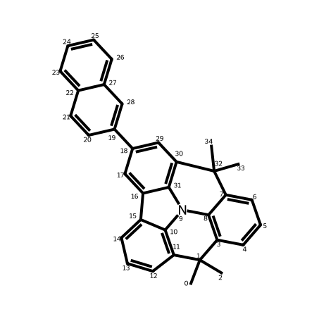 CC1(C)c2cccc3c2-n2c4c1cccc4c1cc(-c4ccc5ccccc5c4)cc(c12)C3(C)C